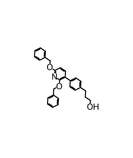 OCCCc1ccc(-c2ccc(OCc3ccccc3)nc2OCc2ccccc2)cc1